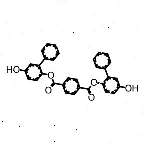 O=C(Oc1ccc(O)cc1-c1ccccc1)c1ccc(C(=O)Oc2ccc(O)cc2-c2ccccc2)cc1